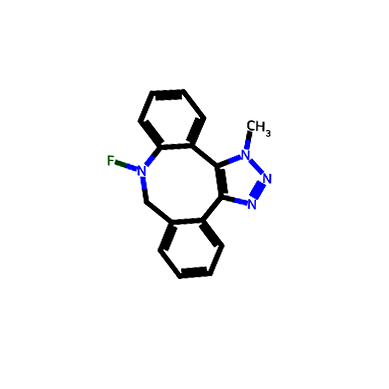 Cn1nnc2c1-c1ccccc1N(F)Cc1ccccc1-2